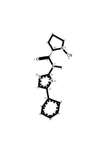 CN(C(=O)[C@@H]1CCCN1C#N)c1nc(-c2ccccc2)cs1